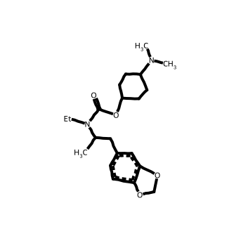 CCN(C(=O)OC1CCC(N(C)C)CC1)C(C)Cc1ccc2c(c1)OCO2